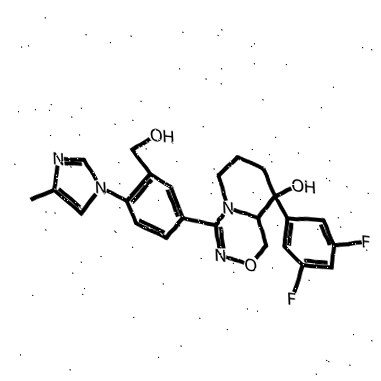 Cc1cn(-c2ccc(C3=NOCC4N3CCCC4(O)c3cc(F)cc(F)c3)cc2CO)cn1